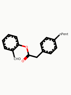 CCCCCc1ccc(CC(=O)Oc2ccccc2C=O)cc1